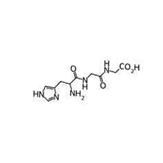 NC(Cc1c[nH]cn1)C(=O)NCC(=O)NCC(=O)O